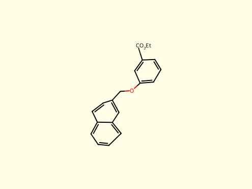 CCOC(=O)c1cccc(OCc2ccc3ccccc3c2)c1